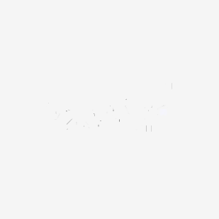 CC/C=C\SC(C)c1ccc(-c2ccc(-c3ccc(C)s3)s2)s1